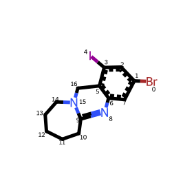 Brc1cc(I)c2c(c1)N=C1CCCCCN1C2